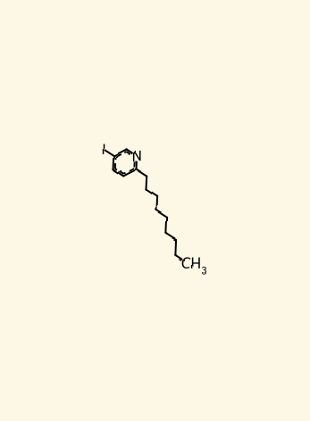 CCCCCCCCCc1ccc(I)cn1